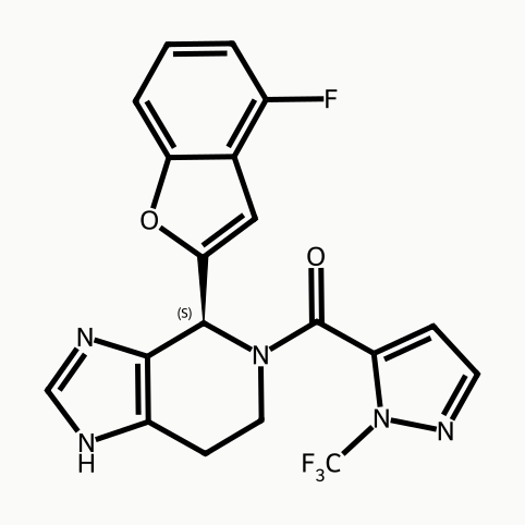 O=C(c1ccnn1C(F)(F)F)N1CCc2[nH]cnc2[C@H]1c1cc2c(F)cccc2o1